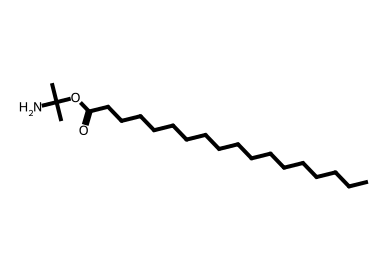 CCCCCCCCCCCCCCCCCC(=O)OC(C)(C)N